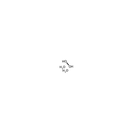 O.O.OO